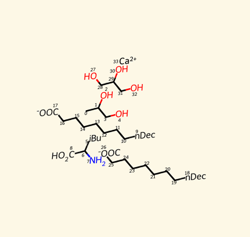 CC(O)CO.CCC(C)C(N)C(=O)O.CCCCCCCCCCCCCCCCCC(=O)[O-].CCCCCCCCCCCCCCCCCC(=O)[O-].OCC(O)CO.[Ca+2]